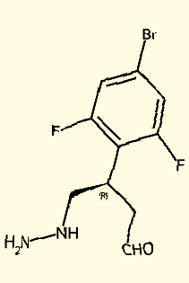 NNC[C@H](CC=O)c1c(F)cc(Br)cc1F